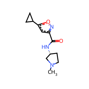 CN1CC[C@@H](NC(=O)c2cc(C3CC3)on2)C1